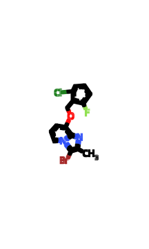 Cc1nc2c(OCc3c(F)cccc3Cl)cccn2c1Br